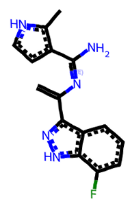 C=C(/N=C(/N)c1cc[nH]c1C)c1n[nH]c2c(F)cccc12